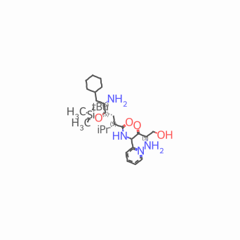 CC(C)[C@H](C[C@H](O[Si](C)(C)C(C)(C)C)[C@@H](N)CC1CCCCC1)C(=O)NC(C(=O)[C@@H](N)CO)c1ccccn1